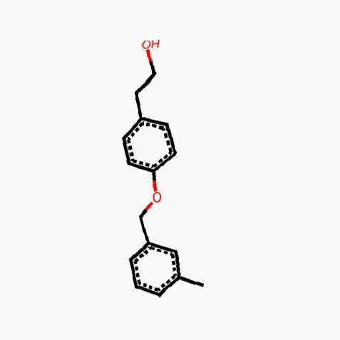 Cc1cccc(COc2ccc(CCO)cc2)c1